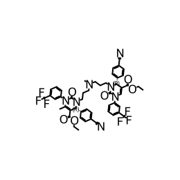 CCOC(=O)C1=CN(c2cccc(C(F)(F)F)c2)C(=O)N(CCCN(C)CCCN2C(=O)N(c3cccc(C(F)(F)F)c3)C(C)=C(C(=O)OCC)[C@H]2c2ccc(C#N)cc2)[C@@H]1c1ccc(C#N)cc1